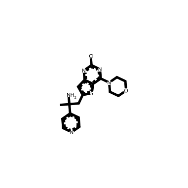 CC(N)(Cc1cc2nc(Cl)nc(N3CCOCC3)c2s1)c1ccncc1